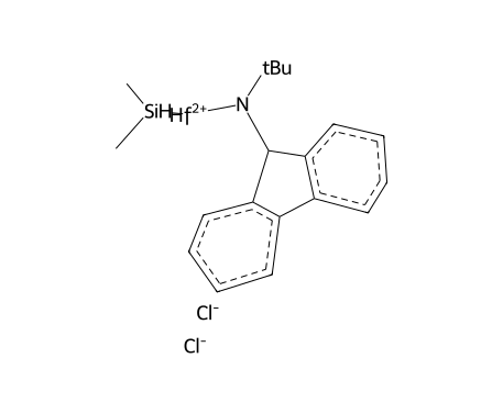 C[SiH](C)[Hf+2][N](C1c2ccccc2-c2ccccc21)C(C)(C)C.[Cl-].[Cl-]